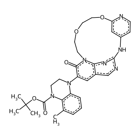 Cc1cccc2c1N(C(=O)OC(C)(C)C)CCN2c1cc2cnc3nc2n(c1=O)CCOCCOc1cc(ccn1)N3